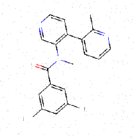 Cc1ncccc1-c1ccncc1N(C)C(=O)c1cc(C(F)(F)F)cc(C(F)(F)F)c1